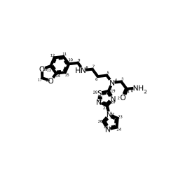 NC(=O)CN(CCCNCc1ccc2c(c1)OCO2)c1nc(-n2ccnc2)ns1